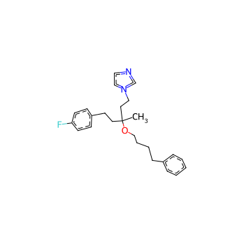 CC(CCc1ccc(F)cc1)(CCn1ccnc1)OCCCCc1ccccc1